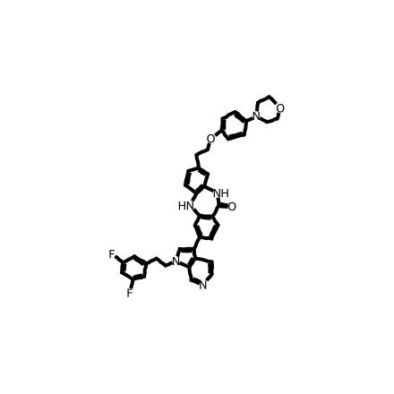 O=C1Nc2cc(CCOc3ccc(N4CCOCC4)cc3)ccc2Nc2cc(-c3cn(CCc4cc(F)cc(F)c4)c4cnccc34)ccc21